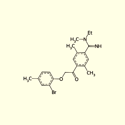 CCN(C)C(=N)c1cc(C)c(C(=O)COc2ccc(C)cc2Br)cc1C